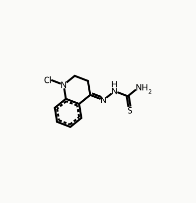 NC(=S)NN=C1CCN(Cl)c2ccccc21